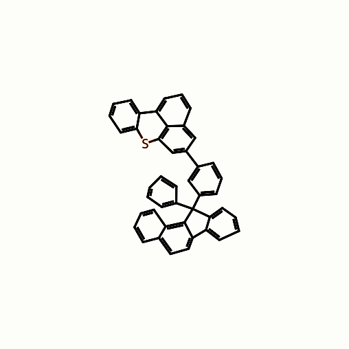 c1ccc(C2(c3cccc(-c4cc5c6c(cccc6c4)-c4ccccc4S5)c3)c3ccccc3-c3ccc4ccccc4c32)cc1